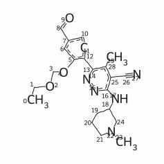 CCOCOc1cc(C=O)ccc1-c1nnc(NC2CCCN(C)C2)c(C#N)c1C